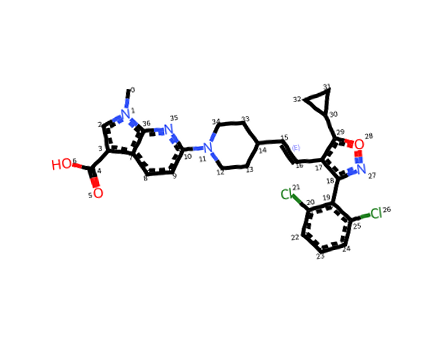 Cn1cc(C(=O)O)c2ccc(N3CCC(/C=C/c4c(-c5c(Cl)cccc5Cl)noc4C4CC4)CC3)nc21